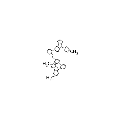 Cc1ccc(-n2c3ccccc3c3cc(-c4ccccc4/C=C/c4ccc(-c5ccccc5-n5c6ccc(C)cc6c6cc(C)ccc65)cc4)ccc32)cc1